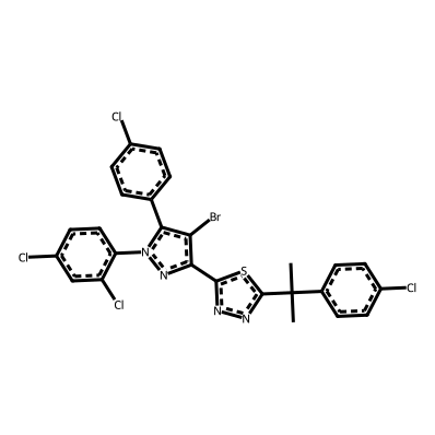 CC(C)(c1ccc(Cl)cc1)c1nnc(-c2nn(-c3ccc(Cl)cc3Cl)c(-c3ccc(Cl)cc3)c2Br)s1